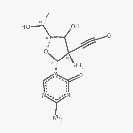 C[C@@H](O)[C@H]1O[C@@H](n2cnc(N)nc2=O)[C@@](N)(C#CCl)C1O